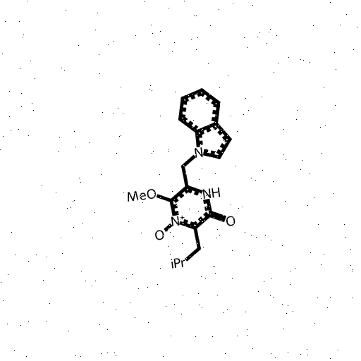 COc1c(Cn2ccc3ccccc32)[nH]c(=O)c(CC(C)C)[n+]1[O-]